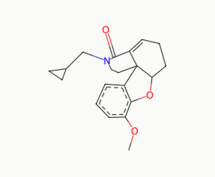 COc1cccc2c1OC1CCC=C3C(=O)N(CC4CC4)CCC321